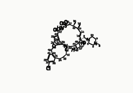 CO[C@]1(CN2CCN(C)CC2)/C=C/[C@H](C)[C@H](C)CS(=O)(=O)NC(=O)c2ccc3c(c2)N(CCCCc2cc(Cl)ccc2CO3)C[C@@H]2CC[C@H]21